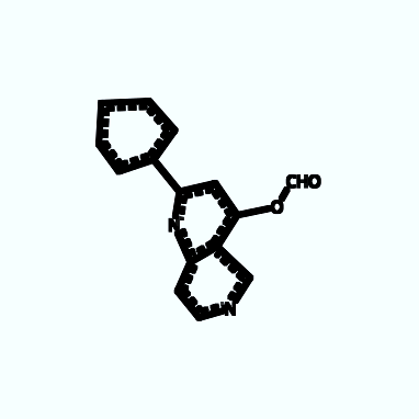 O=COc1cc(-c2ccccc2)nc2ccncc12